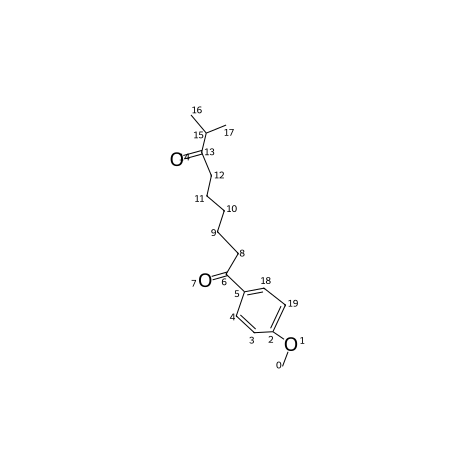 COc1ccc(C(=O)CCCCCC(=O)C(C)C)cc1